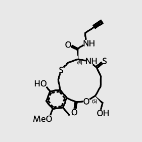 C#CCNC(=O)[C@@H]1CSCc2c(O)cc(OC)c(C)c2C(=O)O[C@H](CO)CCC(=S)N1